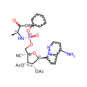 COC(=O)[C@H](C)N[P@](=O)(OC[C@@]1(C#N)O[C@@H](c2ccc3c(N)ccnn23)[C@H](OC(C)=O)[C@@H]1OC(C)=O)Oc1ccccc1